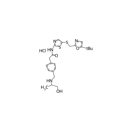 CC(CO)NCc1ccc(CC(=O)Nc2ncc(SCc3ncc(C(C)(C)C)o3)s2)cc1.Cl